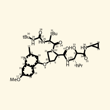 CCC[C@H](NC(=O)C1C[C@@H](Oc2cc(C)nc3cc(OC)ccc23)CN1C(=O)C(NC(=O)NC(C)(C)C)C(C)(C)C)C(O)C(=O)NC1CC1